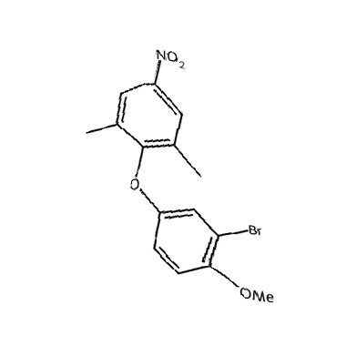 COc1ccc(Oc2c(C)cc([N+](=O)[O-])cc2C)cc1Br